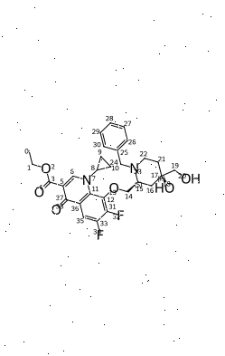 CCOC(=O)c1cn(C2CC2)c2c(OC[C@@H]3C[C@@](O)(CO)CCN3Cc3ccccc3)c(F)c(F)cc2c1=O